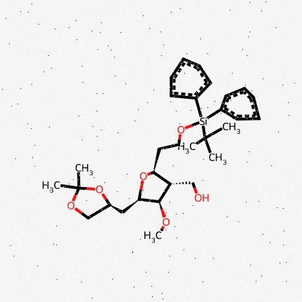 CO[C@@H]1[C@@H](CO)[C@H](CCO[Si](c2ccccc2)(c2ccccc2)C(C)(C)C)O[C@@H]1C[C@H]1COC(C)(C)O1